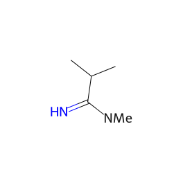 CNC(=N)C(C)C